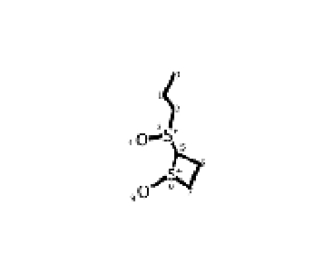 CCC[S+]([O-])C1CC[S+]1[O-]